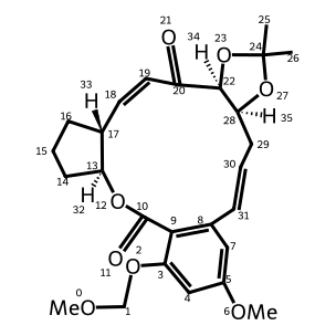 COCOc1cc(OC)cc2c1C(=O)O[C@H]1CCC[C@@H]1/C=C\C(=O)[C@H]1OC(C)(C)O[C@H]1C/C=C/2